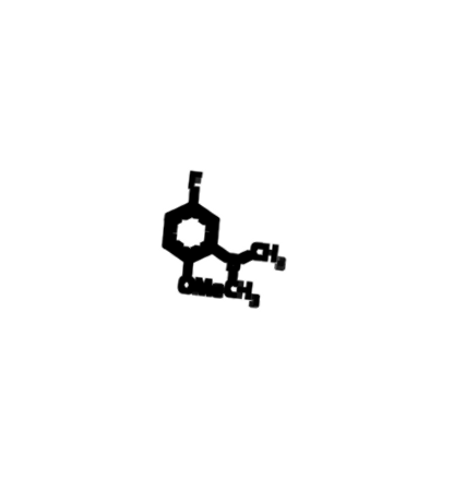 COc1ccc(F)cc1B(C)C